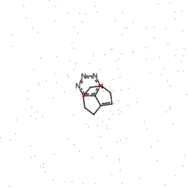 C1=C(\c2cnnnn2)CCCCCC/1